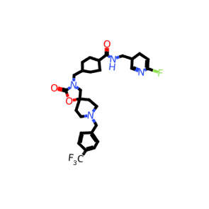 O=C(NCC1C=NC(F)=CC1)C1CCC(CN2CC3(CCN(Cc4ccc(C(F)(F)F)cc4)CC3)OC2=O)CC1